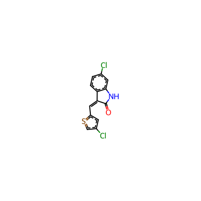 O=C1Nc2cc(Cl)ccc2C1=Cc1cc(Cl)cs1